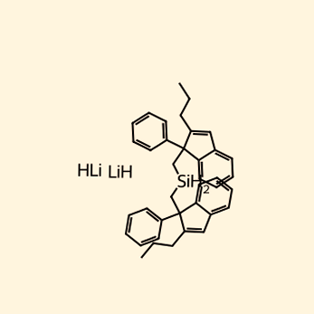 CCCC1=Cc2ccccc2C1(C[SiH2]CC1(c2ccccc2)C(CCC)=Cc2ccccc21)c1ccccc1.[LiH].[LiH]